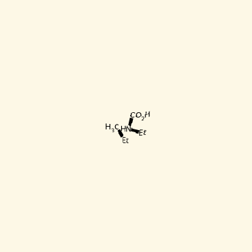 CCC.CCNC(=O)O